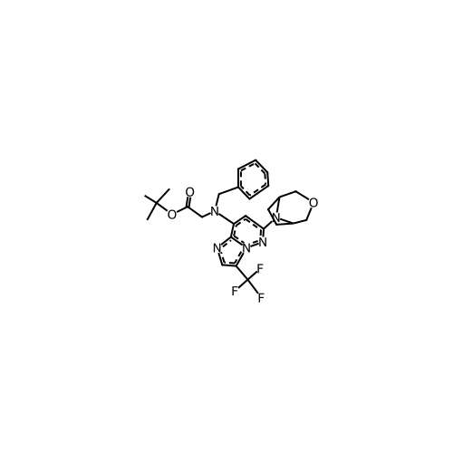 CC(C)(C)OC(=O)CN(Cc1ccccc1)c1cc(N2C3CCC2COC3)nn2c(C(F)(F)F)cnc12